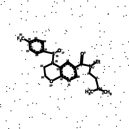 CCN(CCN(C)C)C(=O)c1cnc2c(c1)N([S+]([O-])c1ccc(C(F)(F)F)cc1)CCO2